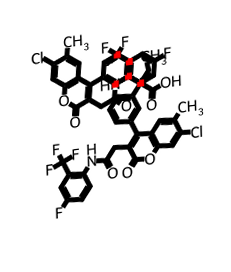 CCC(C(=O)O)(c1cccc(-c2c(CC(=O)Nc3ccc(F)cc3C(F)(F)F)c(=O)oc3cc(Cl)c(C)cc23)c1)c1cccc(-c2c(CC(=O)Nc3ccc(F)cc3C(F)(F)F)c(=O)oc3cc(Cl)c(C)cc23)c1